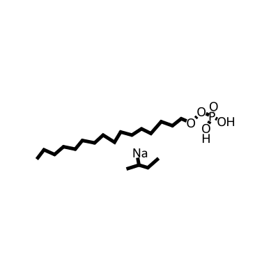 CCCCCCCCCCCCCCCCOOP(=O)(O)O.CC[CH](C)[Na]